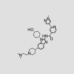 CN(C)CCN1CCC(c2ccc3nc(NC(=O)c4ccnc(-c5cnn(C)c5)c4)n([C@H]4CC[C@@H](O)CC4)c3c2)CC1